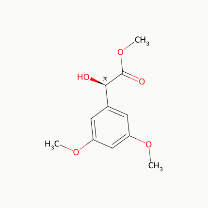 COC(=O)[C@H](O)c1cc(OC)cc(OC)c1